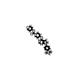 CS(=O)(=O)c1ccc(-n2ncc3c(OC4CCN(C(=O)OC5CCOCC5)CC4)ncnc32)cc1